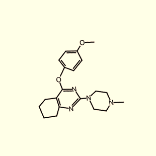 COc1ccc(Oc2nc(N3CCN(C)CC3)nc3c2CCCC3)cc1